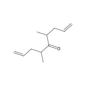 C=CCC(C)C(=O)C(C)CC=C